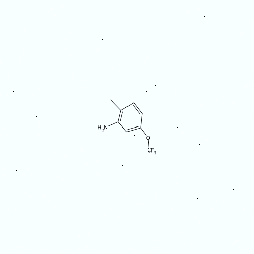 Cc1ccc(OC(F)(F)F)cc1N